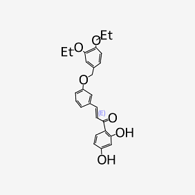 CCOc1ccc(COc2cccc(/C=C/C(=O)c3ccc(O)cc3O)c2)cc1OCC